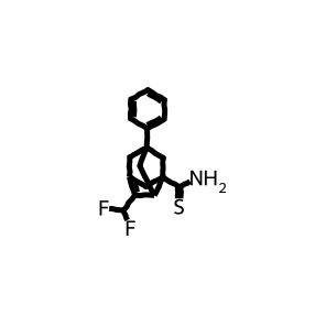 NC(=S)C12CC3=C(C(F)F)C1CC(c1ccccc1)(C3)C2